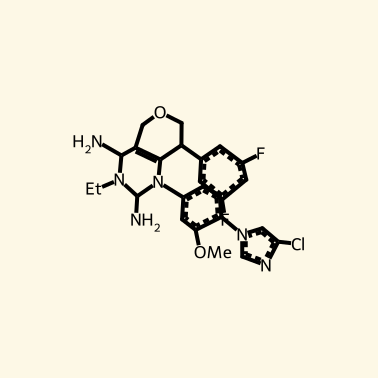 CCN1C(N)C2=C(C(c3cc(F)cc(F)c3)COC2)N(c2ccc(-n3cnc(Cl)c3)c(OC)c2)C1N